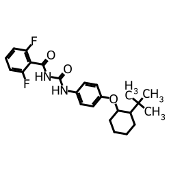 CC(C)(C)C1CCCCC1Oc1ccc(NC(=O)NC(=O)c2c(F)cccc2F)cc1